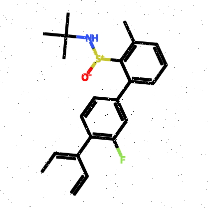 C=C/C(=C\C)c1ccc(-c2cccc(C)c2[S+]([O-])NC(C)(C)C)cc1F